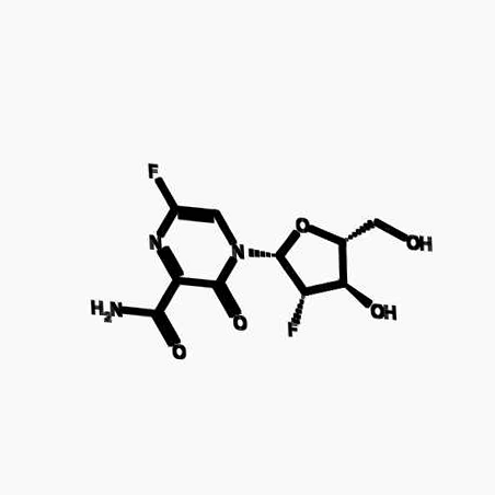 NC(=O)c1nc(F)cn([C@@H]2O[C@H](CO)[C@@H](O)[C@@H]2F)c1=O